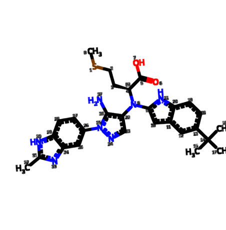 CSCC[C@@H](C(=O)O)N(c1cc2cc(C(C)(C)C)ccc2[nH]1)c1cnn(-c2ccc3[nH]c(C)nc3c2)c1N